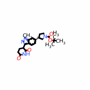 Cn1nc(C2CCC(=O)NC2=O)c2ccc([C@H]3CCN(C(=O)OC(C)(C)C)C3)cc21